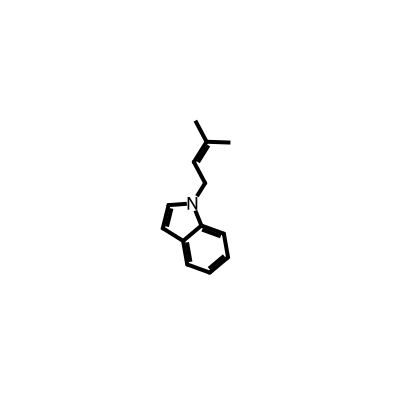 CC(C)=CCn1ccc2ccccc21